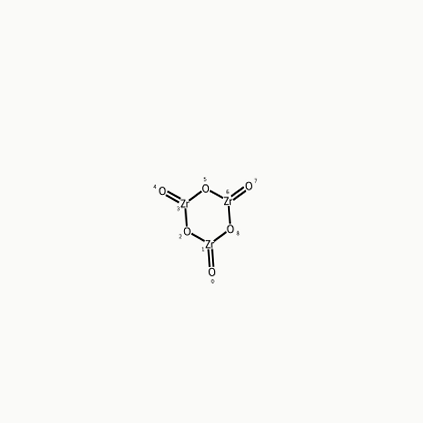 [O]=[Zr]1[O][Zr](=[O])[O][Zr](=[O])[O]1